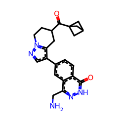 NCc1n[nH]c(=O)c2ccc(-c3cnn4c3CC(C(=O)C35CC(C3)C5)CC4)cc12